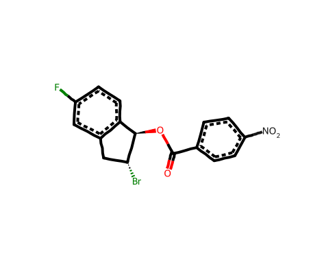 O=C(O[C@@H]1c2ccc(F)cc2C[C@H]1Br)c1ccc([N+](=O)[O-])cc1